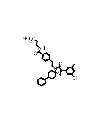 Cc1cc(Cl)cc(C2=NC3(CCC(c4ccccc4)CC3)N(CCc3ccc(C(=O)NCCC(=O)O)cc3)C2=O)c1